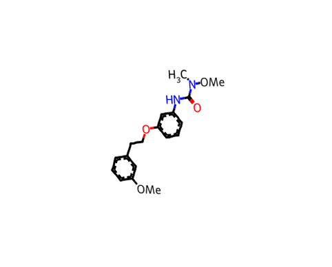 COc1cccc(CCOc2cccc(NC(=O)N(C)OC)c2)c1